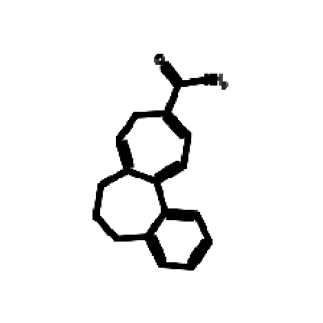 NC(=O)C1=CC=C2C(=CC1)CCCc1ccccc12